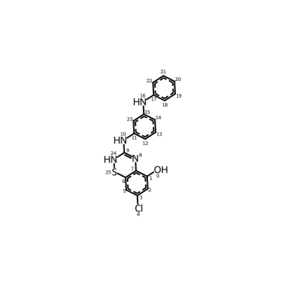 Oc1cc(Cl)cc2c1N=C(Nc1cccc(Nc3ccccc3)c1)NS2